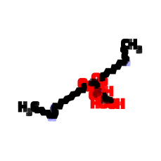 CCCC/C=C\CCCCCCCC(=O)O[C@H](COC(=O)CCCCCCCCC/C=C\C/C=C\CCCCC)COP(=O)(O)OC[C@@H](O)CO